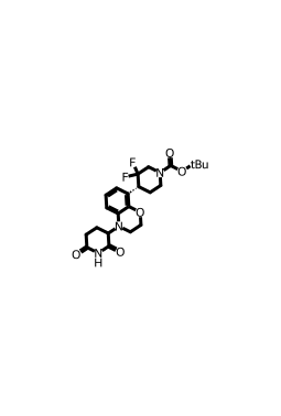 CC(C)(C)OC(=O)N1CC[C@H](c2cccc3c2OCCN3C2CCC(=O)NC2=O)C(F)(F)C1